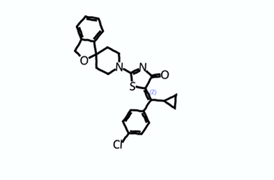 O=C1N=C(N2CCC3(CC2)OCc2ccccc23)S/C1=C(\c1ccc(Cl)cc1)C1CC1